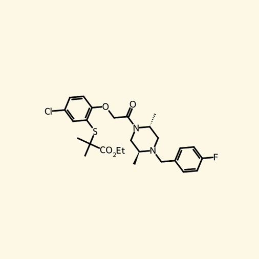 CCOC(=O)C(C)(C)Sc1cc(Cl)ccc1OCC(=O)N1C[C@H](C)N(Cc2ccc(F)cc2)C[C@H]1C